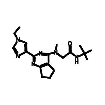 CCn1cnc(-c2nc3c(c(N(C)CC(=O)NC(C)(C)C)n2)CCC3)c1